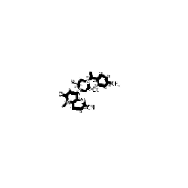 CC[C@@H]1CN(c2cc(=O)n(C)c3ccc(C#N)nc23)[C@@H](C)CN1C(C)c1ccc(C(F)(F)F)cc1